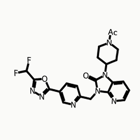 CC(=O)N1CCC(n2c(=O)n(Cc3ccc(-c4nnc(C(F)F)o4)cn3)c3ncccc32)CC1